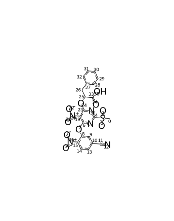 CS(=O)(=O)c1nc(Oc2cc(C#N)ccc2[N+](=O)[O-])c([N+](=O)[O-])c(OC(Cc2ccccc2)C(=O)O)n1